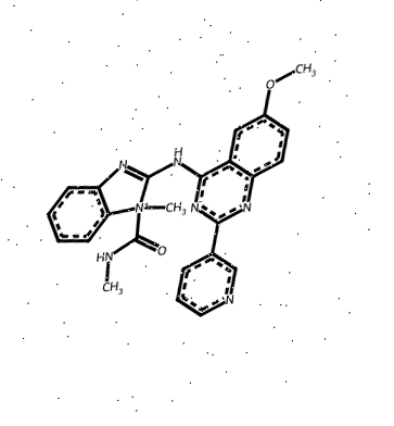 CNC(=O)[N+]1(C)C(Nc2nc(-c3cccnc3)nc3ccc(OC)cc23)=Nc2ccccc21